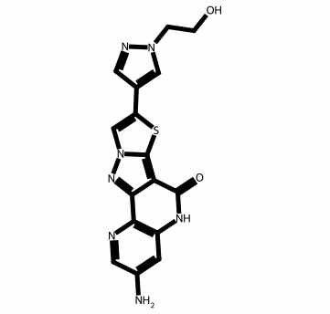 Nc1cnc2c(c1)[nH]c(=O)c1c2nn2cc(-c3cnn(CCO)c3)sc12